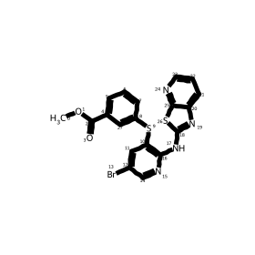 COC(=O)c1cccc(Sc2cc(Br)cnc2Nc2nc3cccnc3s2)c1